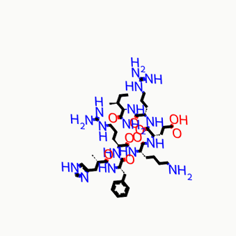 CC[C@H](C)[C@H](NC(=O)[C@H](CCCNC(=N)N)NC(=O)[C@H](CCC(=O)O)NC(=O)[C@H](CCCCN)NC(=O)[C@H](CCCNC(=N)N)NC(=O)[C@H](Cc1ccccc1)NC(=O)[C@@H](C)Cc1c[nH]cn1)C(N)=O